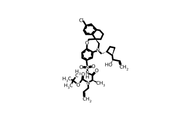 C=CCN(C(=O)OC(C)(C)C)[C@H](C)C(=O)NS(=O)(=O)c1ccc2c(c1)N(C[C@@H]1CC[C@H]1[C@@H](O)C=C)C[C@@]1(CCCc3cc(Cl)ccc31)CO2